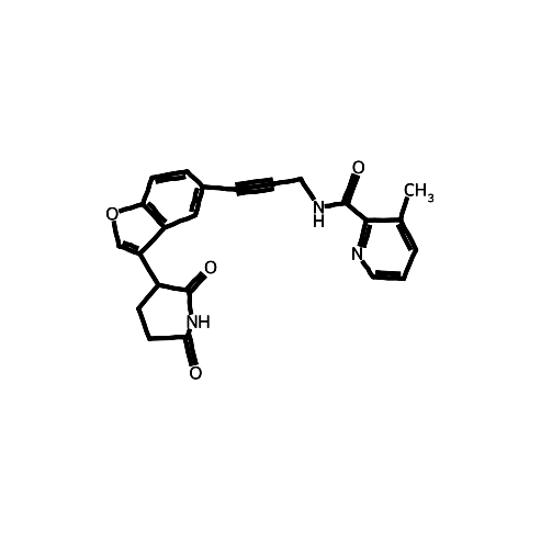 Cc1cccnc1C(=O)NCC#Cc1ccc2occ(C3CCC(=O)NC3=O)c2c1